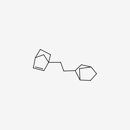 C1=CC2(CCC3CC4CCC3C4)CCC1C2